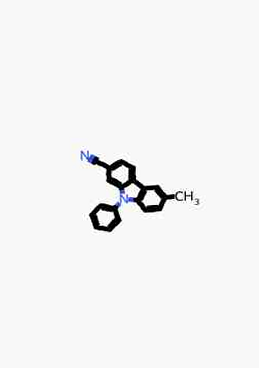 Cc1ccc2c(c1)c1ccc(C#N)cc1n2-c1ccccc1